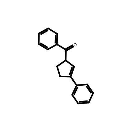 O=C(c1ccccc1)C1C=C(c2cc[c]cc2)CC1